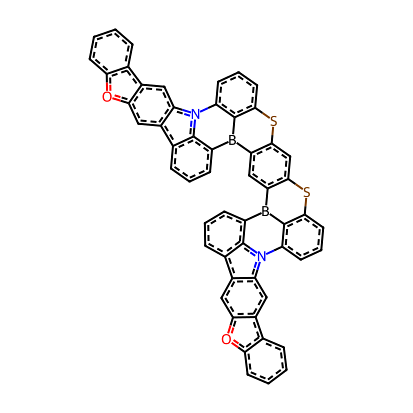 c1cc2c3c(c1)-n1c4cc5c(cc4c4cccc(c41)B3c1cc3c(cc1S2)Sc1cccc2c1B3c1cccc3c4cc6oc7ccccc7c6cc4n-2c13)oc1ccccc15